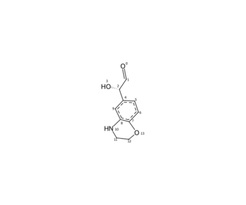 O=C[C@@H](O)c1ccc2c(c1)NCCO2